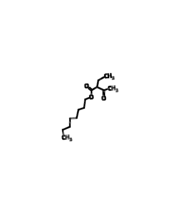 CCCCCCCCOC(=O)C(CC)C(C)=O